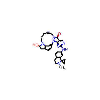 CN1CCc2ccc(Nc3ncc4c(=O)n5n(c4n3)-c3ccc4c(c3)N(CCC/C=C\C5)C(O)C4)cc2C12CC2